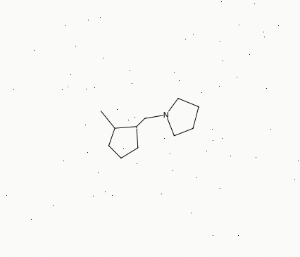 CC1CCCC1CN1CCCC1